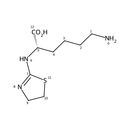 NCCCC[C@H](NC1=NCCS1)C(=O)O